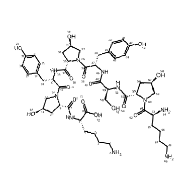 NCCCC[C@H](NC(=O)[C@@H]1C[C@@H](O)CN1C(=O)[C@H](Cc1ccc(O)cc1)NC(=O)[C@@H]1C[C@@H](O)CN1C(=O)[C@H](Cc1ccc(O)cc1)NC(=O)[C@H](CO)NC(=O)[C@@H]1C[C@@H](O)CN1C(=O)[C@@H](N)CCCCN)C(=O)O